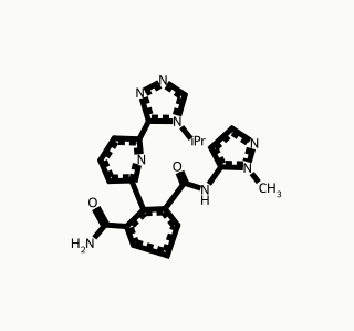 CC(C)n1cnnc1-c1cccc(-c2c(C(N)=O)cccc2C(=O)Nc2ccnn2C)n1